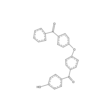 O=C(c1ccccc1)c1ccc(Oc2ccc(C(=O)c3ccc(O)cc3)cc2)cc1